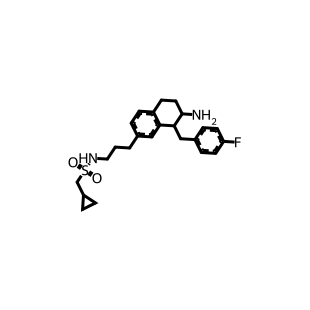 NC1CCc2ccc(CCCNS(=O)(=O)CC3CC3)cc2C1Cc1ccc(F)cc1